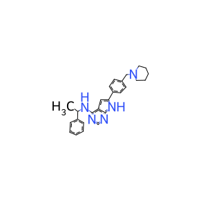 CC(Nc1ncnc2[nH]c(-c3ccc(CN4CCCCC4)cc3)cc12)c1ccccc1